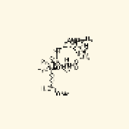 CCn1c(-c2cccnc2[C@H](C)OC)c2c3cc(ccc31)-c1csc(n1)C[C@H](NC(=O)C(C(C)C)N(C)C(=O)N1CC3(CC(N(C)CCOC)C3)C1)C(=O)N1CCC[C@H](N1)C(=O)OCC(C)(C)C2